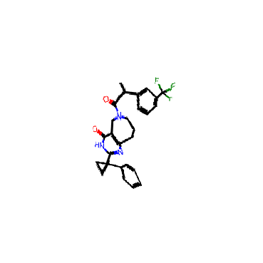 CC(C(=O)N1CCCc2nc(C3(c4ccccc4)CC3)[nH]c(=O)c2C1)c1cccc(C(F)(F)F)c1